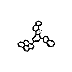 c1ccc2cc(-c3cc(-c4ccc5ccc6cccc7ccc4c5c67)cc4c3oc3c5ccccc5ccc43)ccc2c1